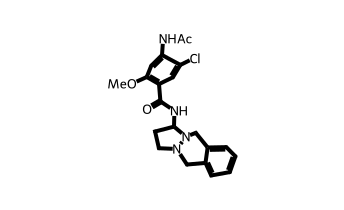 COc1cc(NC(C)=O)c(Cl)cc1C(=O)NC1CCN2Cc3ccccc3CN12